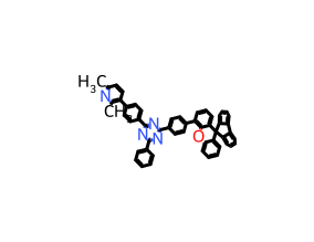 Cc1ccc(-c2ccc(-c3nc(-c4ccccc4)nc(-c4ccc(-c5cccc6c5Oc5ccccc5C65c6ccccc6-c6ccccc65)cc4)n3)cc2)c(C)n1